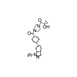 CC(C)n1ncc2ccc(-c3ccc(C(=O)N4CCN(C(=O)C5(O)CC5)CC4)cc3)cc21